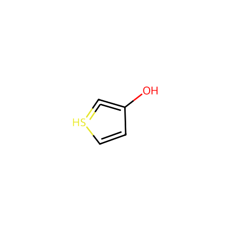 OC1=C=[SH]C=C1